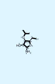 CC(C)O[C@@H]1[C@H](O)[C@H](N)O[C@@H]1CI